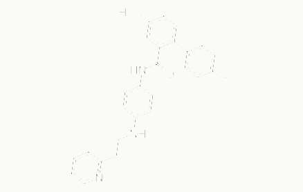 Cc1ccc(-c2ccc(Cl)cc2)c(C(=O)Nc2ccc(NCCc3ccccn3)cc2)c1